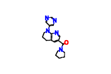 O=C(c1cnc2c(c1)CCCN2c1cncnc1)N1CCCCC1